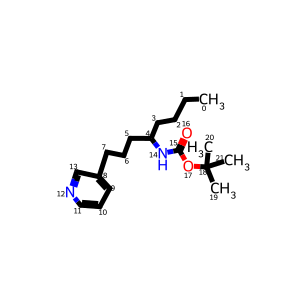 CCCCC(CCCc1cccnc1)NC(=O)OC(C)(C)C